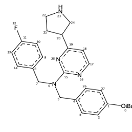 CC(C)COc1ccc(CN(Cc2ccc(F)cc2)c2nccc(C3CCNC3)n2)cc1